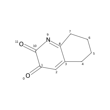 O=C1C=C2CCCCC2=NC1=O